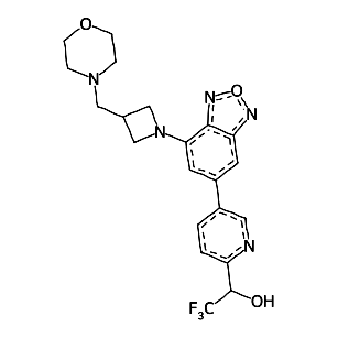 OC(c1ccc(-c2cc(N3CC(CN4CCOCC4)C3)c3nonc3c2)cn1)C(F)(F)F